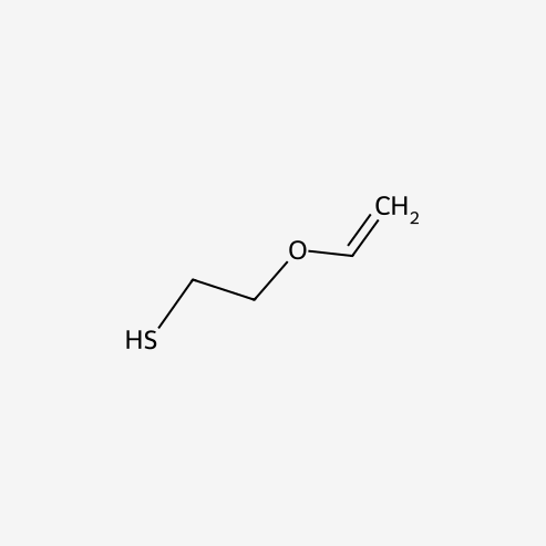 C=COCCS